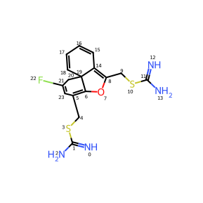 N=C(N)SCC1=C2OC(CSC(=N)N)=C3C=CC=CC32CC(F)=C1